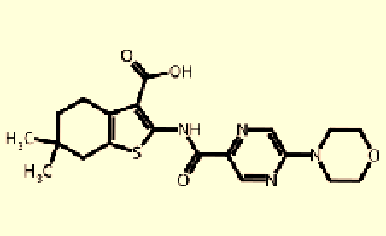 CC1(C)CCc2c(sc(NC(=O)c3cnc(N4CCOCC4)cn3)c2C(=O)O)C1